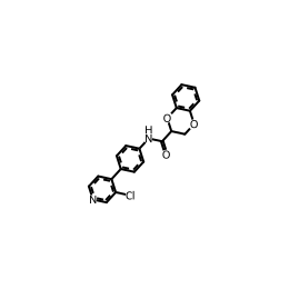 O=C(Nc1ccc(-c2ccncc2Cl)cc1)C1COc2ccccc2O1